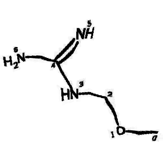 COCNC(=N)N